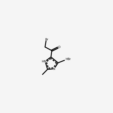 Br.Cc1nc(C)c(C(=O)CBr)[nH]1